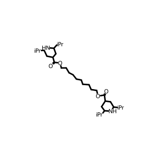 CC(C)C1CC(C(=O)OCCCCCCCCCCOC(=O)C2CC(C(C)C)NC(C(C)C)C2)CC(C(C)C)N1